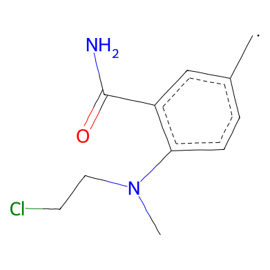 [CH2]c1ccc(N(C)CCCl)c(C(N)=O)c1